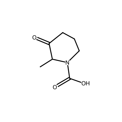 CC1C(=O)CCCN1C(=O)O